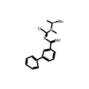 CCC(C)[C@H](C)N(C)/C(Cl)=N\C(=N)c1cccc(-c2ccccc2)c1